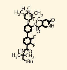 C[C@@H]1CN(c2ccc(-c3ccc(C(=O)NC(C)(C)CC(C)(C)C)c(F)c3F)cc2NC(=O)c2c[nH]c(=O)cc2C(F)(F)F)C[C@H](C)N1C